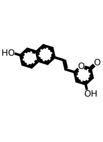 O=c1cc(O)cc(C=Cc2ccc3cc(O)ccc3c2)o1